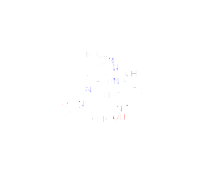 Cc1c(C#N)cccc1[C@@H](C)Nc1nnc(C)c2ccc(N3CCN4CCOCC4C3)cc12.O=CO